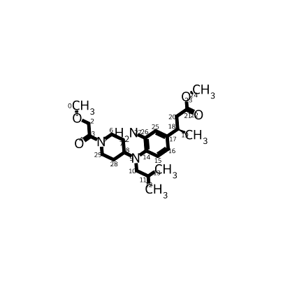 COCC(=O)N1CCC(N(CC(C)C)c2ccc([C@H](C)CC(=O)OC)cc2N)CC1